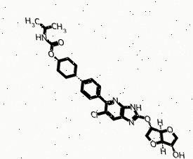 CC(C)NC(=O)O[C@H]1CC[C@H](c2ccc(-c3nc4[nH]c(O[C@@H]5CO[C@H]6[C@@H]5OC[C@H]6O)nc4cc3Cl)cc2)CC1